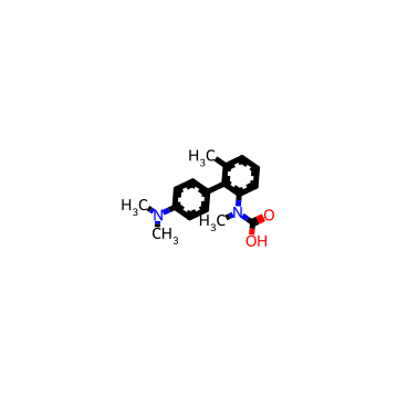 Cc1cccc(N(C)C(=O)O)c1-c1ccc(N(C)C)cc1